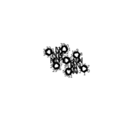 c1ccc(N2c3nc4ccccc4n3B(c3ccc(B4n5c(nc6ccccc65)N(c5ccccc5)c5nc6ccccc6n54)cc3)n3c2nc2ccccc23)cc1